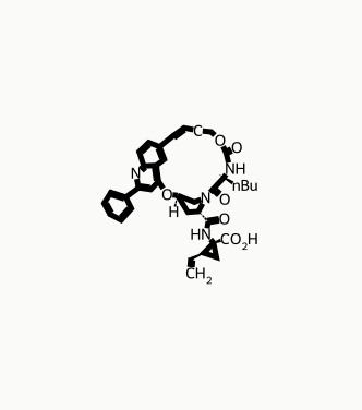 C=C[C@@H]1C[C@]1(NC(=O)[C@@H]1C[C@@H]2CN1C(=O)[C@H](CCCC)NC(=O)OCC/C=C/c1ccc3nc(-c4ccccc4)cc(c3c1)O2)C(=O)O